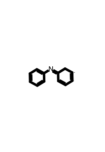 [C]1=CC=C/C(=N\c2ccccc2)C1